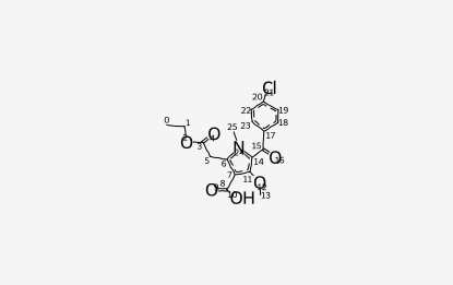 CCOC(=O)Cc1c(C(=O)O)c(OC)c(C(=O)c2ccc(Cl)cc2)n1C